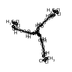 CN1Cc2c(Cl)cc(Cl)cc2[C@H](c2cccc(S(=O)(=O)NCCOCCOCCOCCNC(=O)NCCN3CCN(c4nc(N5CCN(CCNC(=O)NCCOCCOCCOCCNS(=O)(=O)c6cccc([C@@H]7CN(C)Cc8c(Cl)cc(Cl)cc87)c6)CC5)nc(N5CCN(CCNC(=O)NCCOCCOCCOCCNS(=O)(=O)c6cccc([C@@H]7CN(C)Cc8c(Cl)cc(Cl)cc87)c6)CC5)n4)CC3)c2)C1